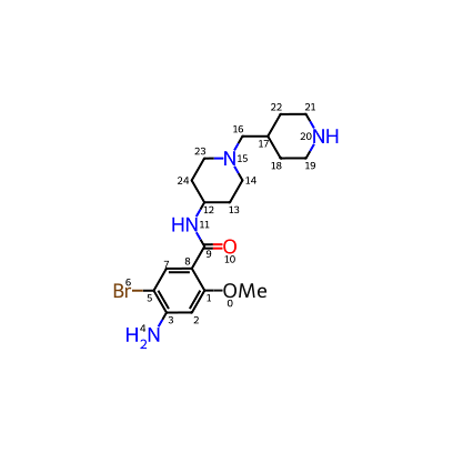 COc1cc(N)c(Br)cc1C(=O)NC1CCN(CC2CCNCC2)CC1